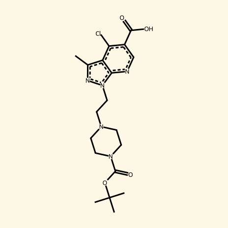 Cc1nn(CCN2CCN(C(=O)OC(C)(C)C)CC2)c2ncc(C(=O)O)c(Cl)c12